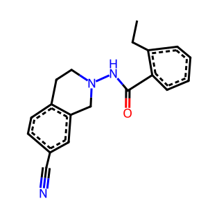 CCc1ccccc1C(=O)NN1CCc2ccc(C#N)cc2C1